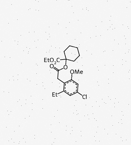 CCOC(=O)C1(OC(=O)Cc2c(CC)cc(Cl)cc2OC)CCCCC1